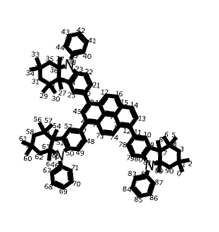 CC1(C)CC(C)(C)C2(C)c3cc(-c4ccc5ccc6c(-c7ccc8c(c7)C7(C)C(C)(C)CC(C)(C)CC7(C)N8c7ccccc7)cc(-c7ccc8c(c7)C7(C)C(C)(C)CC(C)(C)CC7(C)N8c7ccccc7)c7ccc4c5c67)ccc3N(c3ccccc3)C2(C)C1